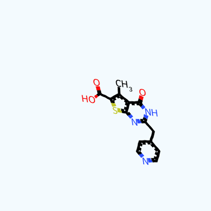 Cc1c(C(=O)O)sc2nc(Cc3ccncc3)[nH]c(=O)c12